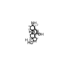 C[C@]12CC[C@H]3C(=C1CC[C@@H]2O)[C@@H](O)CC1=C[C@@H](N)CC[C@@]13C